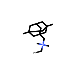 CC(C)C[N+](C)(C)CC12CC3CC(C)(CC(C)(C3)C1)C2